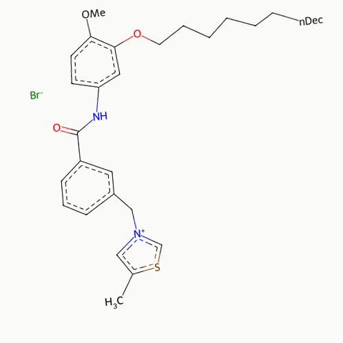 CCCCCCCCCCCCCCCCOc1cc(NC(=O)c2cccc(C[n+]3csc(C)c3)c2)ccc1OC.[Br-]